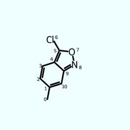 Cc1ccc2c(Cl)onc2c1